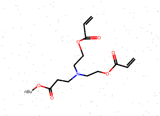 C=CC(=O)OCCN(CCOC(=O)C=C)CCC(=O)OCCCC